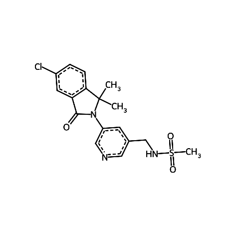 CC1(C)c2ccc(Cl)cc2C(=O)N1c1cncc(CNS(C)(=O)=O)c1